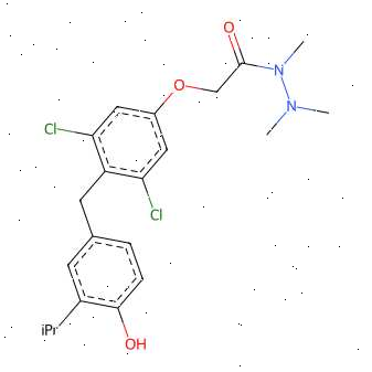 CC(C)c1cc(Cc2c(Cl)cc(OCC(=O)N(C)N(C)C)cc2Cl)ccc1O